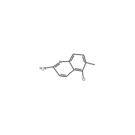 Cc1ccc2nc(N)ccc2c1Cl